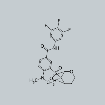 CN(C)c1ccc(C(=O)Nc2cc(F)c(F)c(F)c2)cc1S(=O)(=O)[C@@H]1C2CCOC1CC2